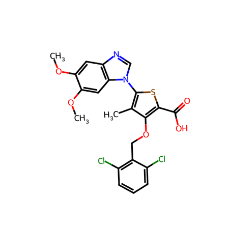 COc1cc2ncn(-c3sc(C(=O)O)c(OCc4c(Cl)cccc4Cl)c3C)c2cc1OC